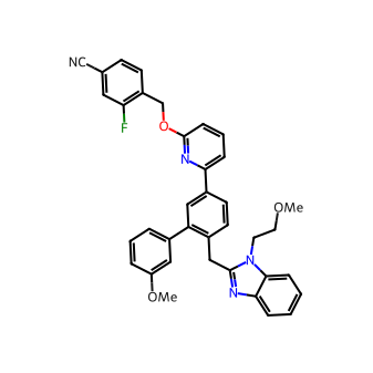 COCCn1c(Cc2ccc(-c3cccc(OCc4ccc(C#N)cc4F)n3)cc2-c2cccc(OC)c2)nc2ccccc21